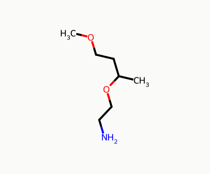 COCCC(C)OCCN